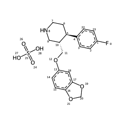 Fc1ccc([C@@H]2CCNC[C@H]2COc2ccc3c(c2)OCO3)cc1.O=S(=O)(O)O